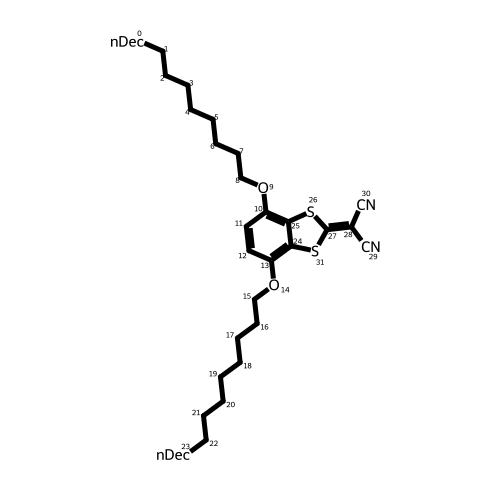 CCCCCCCCCCCCCCCCCCOc1ccc(OCCCCCCCCCCCCCCCCCC)c2c1SC(=C(C#N)C#N)S2